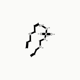 C=CCOCC=C.C=CCOCOS(=O)(=O)OCC